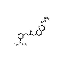 CN(C)c1cccc(CCNCc2ccc3ccc(N=NN)nc3c2)c1